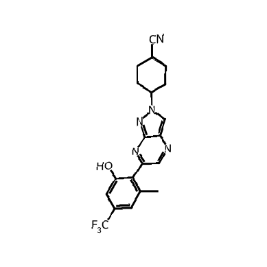 Cc1cc(C(F)(F)F)cc(O)c1-c1cnc2cn(C3CCC(C#N)CC3)nc2n1